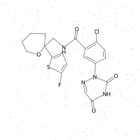 O=C(NCC1(c2ccc(F)s2)CCCCO1)c1cc(-n2ncc(=O)[nH]c2=O)ccc1Cl